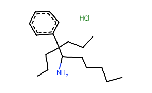 CCCCCC(N)C(CCC)(CCC)c1ccccc1.Cl